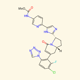 COC(=O)Nc1ccc(-c2cnc([C@@H]3CC[C@@H]4CC(c5c(-n6cnnn6)ccc(Cl)c5F)=CC(=O)N43)[nH]2)nc1